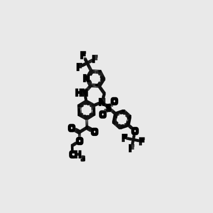 CCOC(=O)C(=O)c1ccc2c(c1)N(S(=O)(=O)c1ccc(OC(F)(F)F)cc1)Cc1ccc(C(F)(F)F)nc1N2